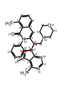 Cc1cccc2cc(Cn3nc(I)c4c(N)ncnc43)n(-c3ccccc3OCCN3CCOCC3)c(=O)c12